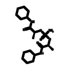 C[C@H](OP(N)(=O)O[C@@H](C)C(=O)NC1CCCCC1)C(=O)NC1CCCCC1